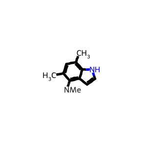 CNc1c(C)cc(C)c2[nH]ccc12